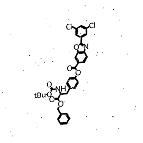 CC(C)(C)OC(=O)NC(Cc1ccc(OC(=O)c2ccc3nc(-c4cc(Cl)cc(Cl)c4)oc3c2)cc1)C(=O)OCc1ccccc1